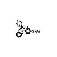 CSc1ccc(C(=O)C(C)(Cc2ccccc2)N2CCOCC2)cc1